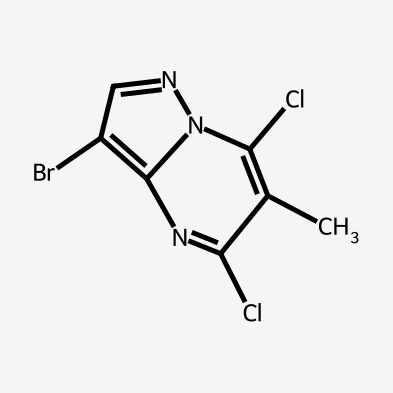 Cc1c(Cl)nc2c(Br)cnn2c1Cl